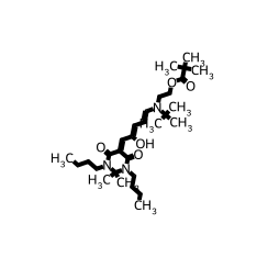 CCCCN1C(=O)C(=C/C(O)=C/C=C/N(CCOC(=O)C(C)(C)C)C(C)(C)C)C(=O)N(CCCC)C1(C)C